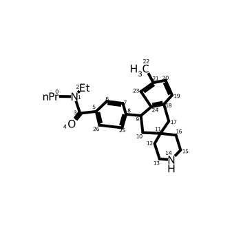 CCCN(CC)C(=O)c1ccc(C2CC3(CCNCC3)Cc3ccc(C)cc32)cc1